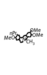 CCCc1cc2c(cc[n+]3c(C)c4cc(OC)c(OC)cc4cc23)cc1OC